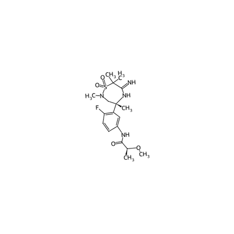 CO[C@@H](C)C(=O)Nc1ccc(F)c([C@]2(C)CN(C)S(=O)(=O)C(C)(C)C(=N)N2)c1